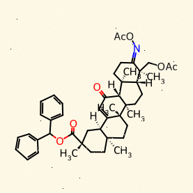 CC(=O)OC[C@]1(C)/C(=N/OC(C)=O)CC[C@@]2(C)[C@H]1CC[C@]1(C)[C@@H]2C(=O)C=C2[C@@H]3C[C@@](C)(C(=O)OC(c4ccccc4)c4ccccc4)CC[C@]3(C)CC[C@]21C